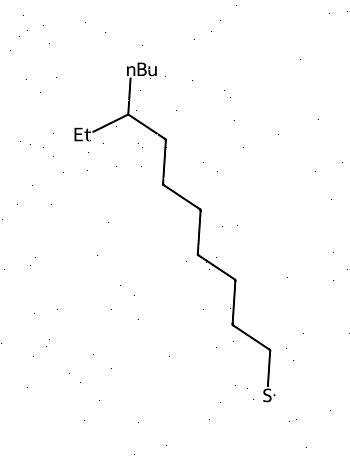 CCCCC(CC)CCCCCCC[S]